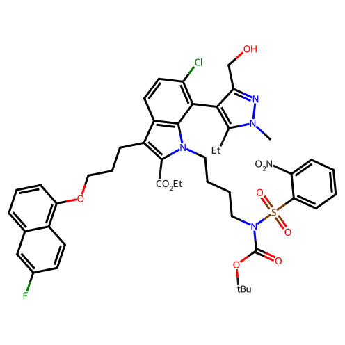 CCOC(=O)c1c(CCCOc2cccc3cc(F)ccc23)c2ccc(Cl)c(-c3c(CO)nn(C)c3CC)c2n1CCCCN(C(=O)OC(C)(C)C)S(=O)(=O)c1ccccc1[N+](=O)[O-]